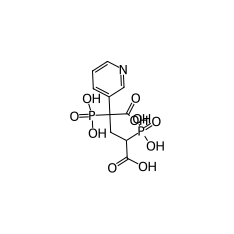 O=C(O)C(CC(C(=O)O)(c1cccnc1)P(=O)(O)O)P(=O)(O)O